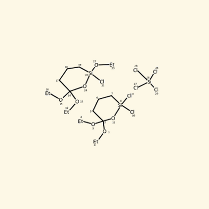 CCOC1(OCC)CCC[Si](Cl)(Cl)O1.CCOC1(OCC)CCC[Si](Cl)(OCC)O1.Cl[Si](Cl)(Cl)Cl